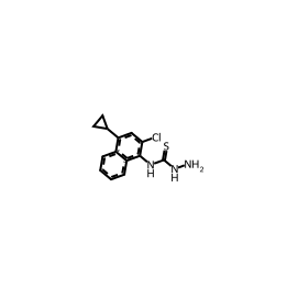 NNC(=S)Nc1c(Cl)cc(C2CC2)c2ccccc12